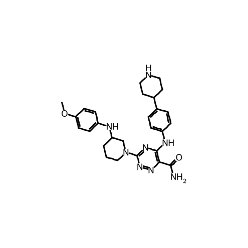 COc1ccc(NC2CCCN(c3nnc(C(N)=O)c(Nc4ccc(C5CCNCC5)cc4)n3)C2)cc1